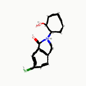 O=C1c2cc(Br)ccc2CN1C1CCCCC1O